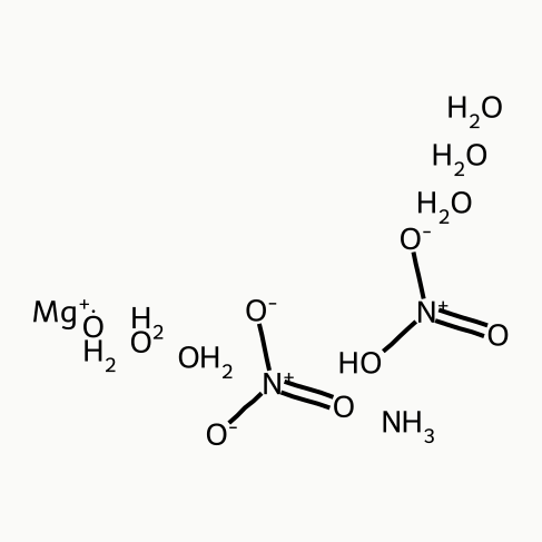 N.O.O.O.O.O.O.O=[N+]([O-])O.O=[N+]([O-])[O-].[Mg+]